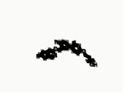 Cc1nc(OCCC(C)(C)O)ccc1-c1ccc(F)c(COc2cc3c(cn2)CC(C)C3)c1